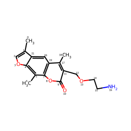 Cc1coc2c(C)c3oc(=O)c(COCCN)c(C)c3cc12